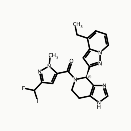 CCc1cccn2nc([C@H]3c4nc[nH]c4CCN3C(=O)c3cc(C(F)I)nn3C)cc12